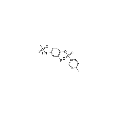 Cc1ccc(S(=O)(=O)Oc2ccc(NS(C)(=O)=O)cc2F)cc1